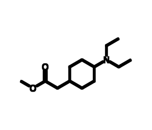 CCN(CC)C1CCC(CC(=O)OC)CC1